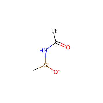 CCC(=O)N[S+](C)[O-]